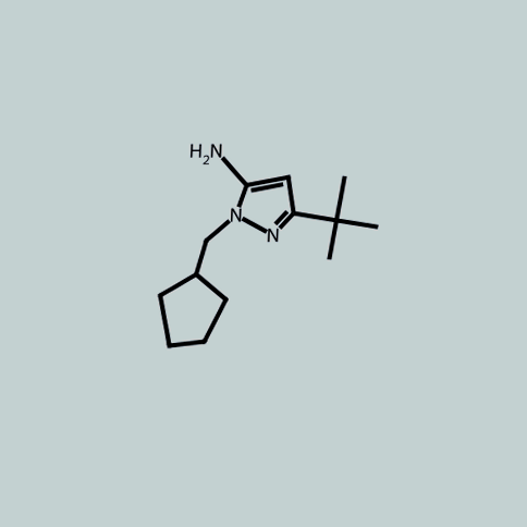 CC(C)(C)c1cc(N)n(CC2CCCC2)n1